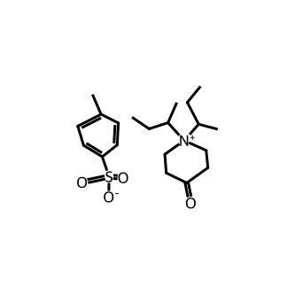 CCC(C)[N+]1(C(C)CC)CCC(=O)CC1.Cc1ccc(S(=O)(=O)[O-])cc1